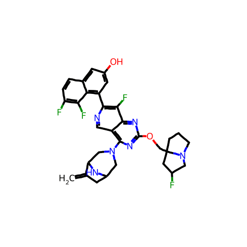 C=C1CC2CN(c3nc(OCC45CCCN4CC(F)C5)nc4c(F)c(-c5cc(O)cc6ccc(F)c(F)c56)ncc34)CC1N2